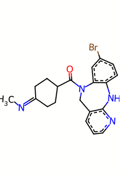 CN=C1CCC(C(=O)N2Cc3cccnc3Nc3ccc(Br)cc32)CC1